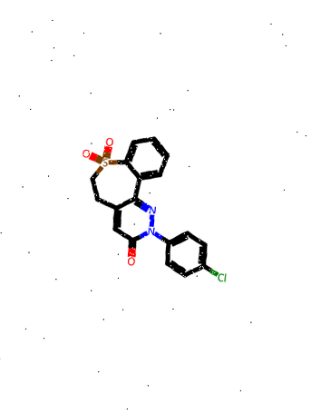 O=c1cc2c(nn1-c1ccc(Cl)cc1)-c1ccccc1S(=O)(=O)CC2